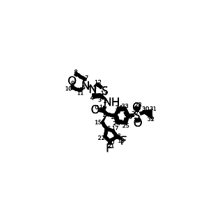 O=C(NC1=CN(N2CCOCC2)CS1)[C@H](CC1CC(F)C(F)C1)c1ccc(S(=O)(=O)C2CC2)cc1